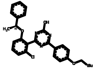 C[C@H](Oc1cccc(Cl)c1-c1nc(O)nc(-c2ccc(OCC(C)(C)C)cc2)n1)c1ccccc1